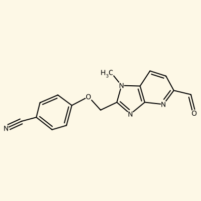 Cn1c(COc2ccc(C#N)cc2)nc2nc(C=O)ccc21